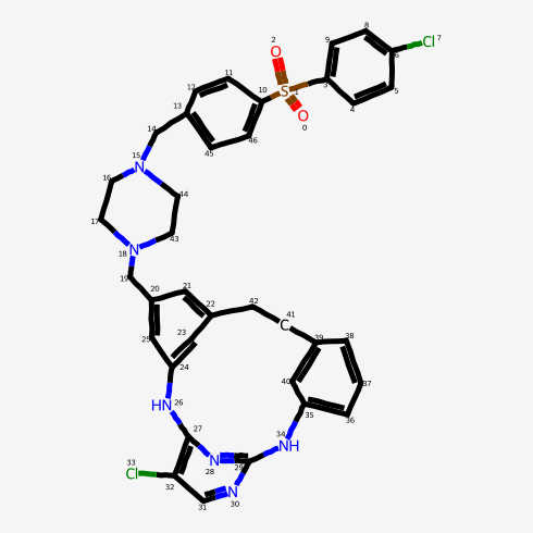 O=S(=O)(c1ccc(Cl)cc1)c1ccc(CN2CCN(Cc3cc4cc(c3)Nc3nc(ncc3Cl)Nc3cccc(c3)CC4)CC2)cc1